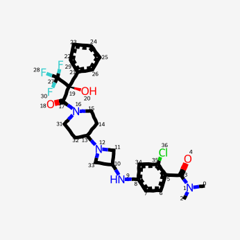 CN(C)C(=O)c1ccc(NC2CN(C3CCN(C(=O)[C@@](O)(c4ccccc4)C(F)(F)F)CC3)C2)cc1Cl